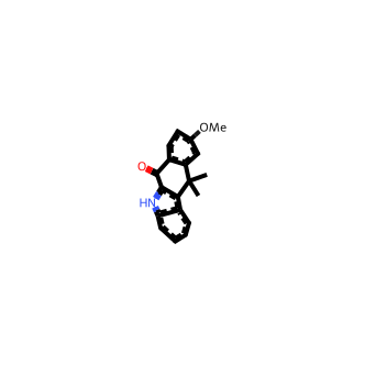 COc1ccc2c(c1)C(C)(C)c1c([nH]c3ccccc13)C2=O